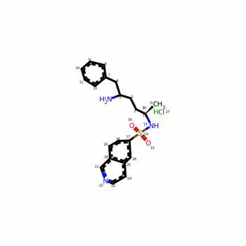 C[C@H](CCC(N)Cc1ccccc1)NS(=O)(=O)c1ccc2cnccc2c1.Cl